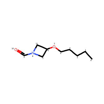 CCCCCOC1CN(C=O)C1